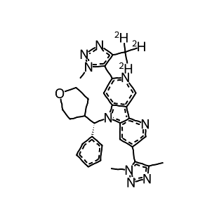 [2H]C([2H])([2H])c1nnn(C)c1-c1cc2c(cn1)c1ncc(-c3c(C)nnn3C)cc1n2[C@H](c1ccccc1)C1CCOCC1